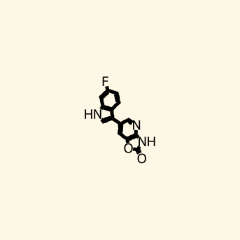 O=c1[nH]c2ncc(-c3c[nH]c4cc(F)ccc34)cc2o1